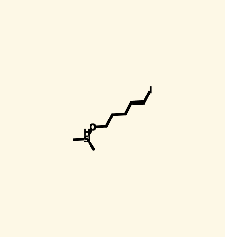 C[SiH](C)OCCC/C=C/I